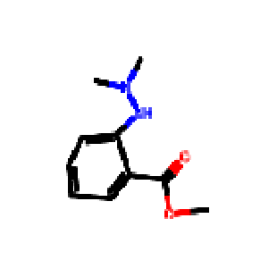 COC(=O)c1ccccc1NN(C)C